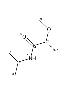 CO[C@H](C)C(=O)NC(C)C